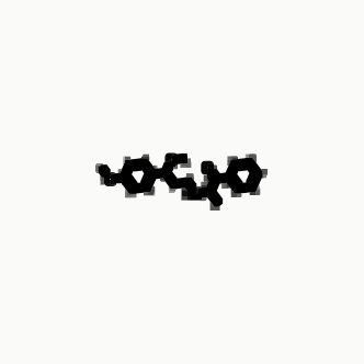 COc1ccc(C(CCNC(C)C(=O)c2ccccc2)OC)cc1